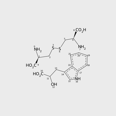 N[C@@H](CSSC[C@H](N)C(=O)O)C(=O)O.O=C(O)C(O)Cc1c[nH]c2ccccc12